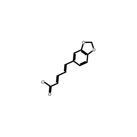 O=C(Cl)/C=C/C=C/c1ccc2c(c1)OCO2